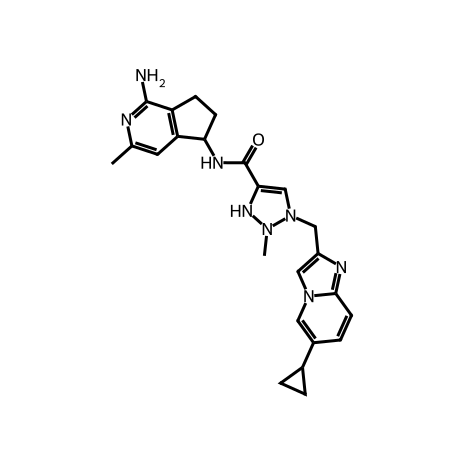 Cc1cc2c(c(N)n1)CCC2NC(=O)C1=CN(Cc2cn3cc(C4CC4)ccc3n2)N(C)N1